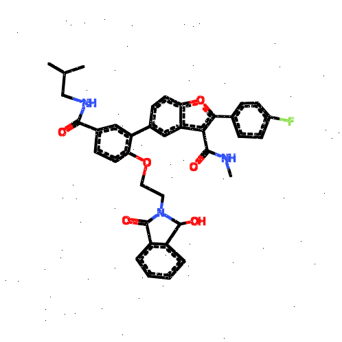 CNC(=O)c1c(-c2ccc(F)cc2)oc2ccc(-c3cc(C(=O)NCC(C)C)ccc3OCCN3C(=O)c4ccccc4C3O)cc12